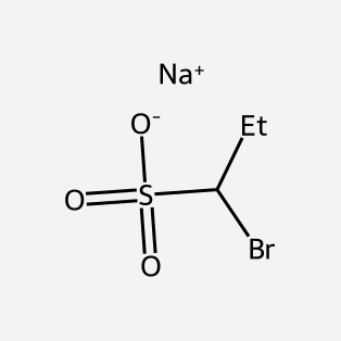 CCC(Br)S(=O)(=O)[O-].[Na+]